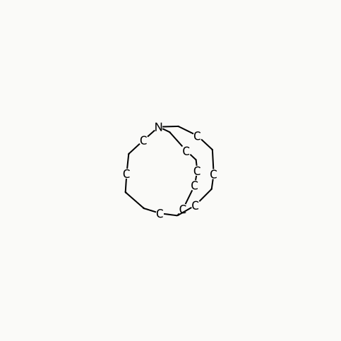 C1CCCN2CCCCCCC(CC1)CCCCCC2